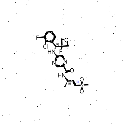 C[C@H](/C=C/S(C)(=O)=O)NC(=O)c1cnc(N[C@H](c2cccc(F)c2Cl)C2(F)COC2)cn1